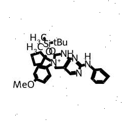 COc1ccc([N+]2(C3(O[Si](C)(C)C(C)(C)C)CCCC3)Cc3cnc(Nc4ccccc4)nc3NC2=O)cc1